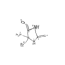 CCC1(P)NC(=O)NC1=O